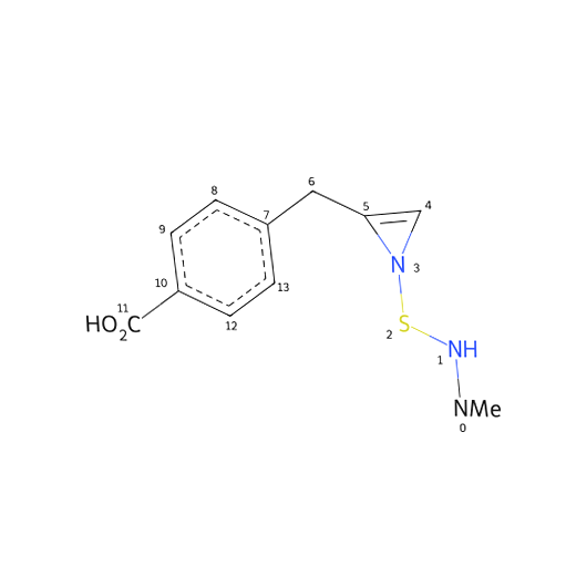 CNNSN1C=C1Cc1ccc(C(=O)O)cc1